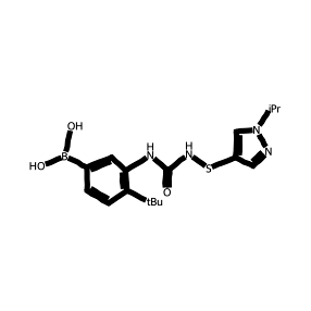 CC(C)n1cc(SNC(=O)Nc2cc(B(O)O)ccc2C(C)(C)C)cn1